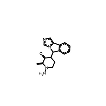 C=C1C(=O)C(C2c3ccccc3-c3cncn32)CCN1N